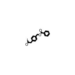 O=C(I)Cc1ccc(COC(=O)c2ccccc2)cc1